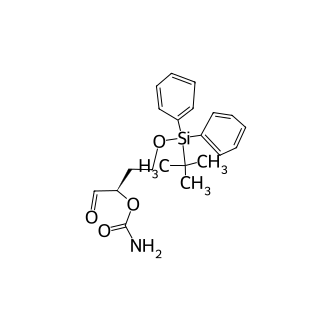 CC(C)(C)[Si](OCC[C@H](C=O)OC(N)=O)(c1ccccc1)c1ccccc1